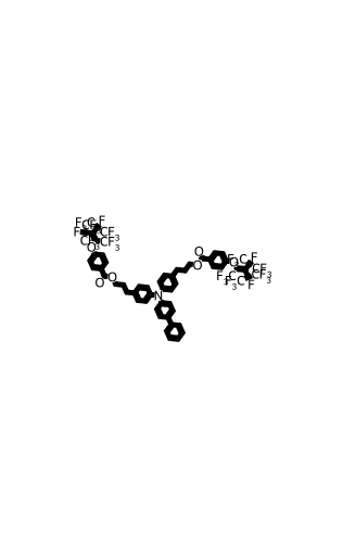 O=C(OCCCc1ccc(N(c2ccc(CCCOC(=O)c3ccc(OC(=C(C(F)(C(F)(F)F)C(F)(F)F)C(F)(C(F)(F)F)C(F)(F)F)C(F)(F)F)cc3)cc2)c2ccc(-c3ccccc3)cc2)cc1)c1ccc(OC(=C(C(F)(C(F)(F)F)C(F)(F)F)C(F)(C(F)(F)F)C(F)(F)F)C(F)(F)F)cc1